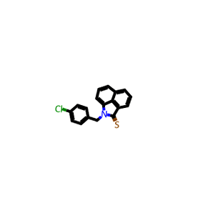 S=C1c2cccc3cccc(c23)N1Cc1ccc(Cl)cc1